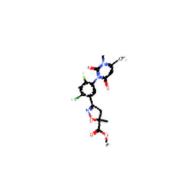 CC(C)OC(=O)C1(C)CC(c2cc(-n3c(=O)cc(C(F)(F)F)n(C)c3=O)c(F)cc2Cl)=NO1